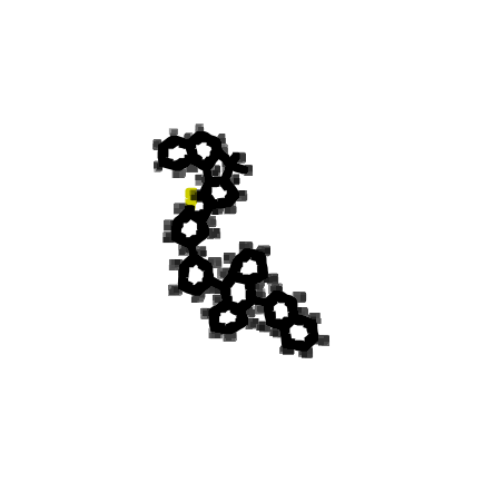 CC1(C)c2ccc3ccccc3c2-c2c1ccc1c2sc2ccc(-c3cccc(-c4c5ccccc5c(-c5ccc6ccccc6c5)c5ccccc45)c3)cc21